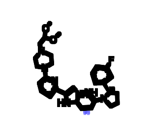 COC(CN1CCN(c2cccc(C3=CNC(/C=C\C(=N)N4CCC[C@@H]4c4cccc(F)c4)N3)n2)CC1)OC